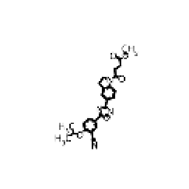 COC(=O)CCC(=O)N1CCc2cc(-c3noc(-c4ccc(OC(C)C)c(C#N)c4)n3)ccc21